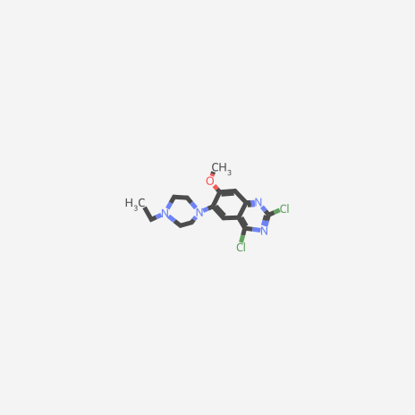 CCN1CCN(c2cc3c(Cl)nc(Cl)nc3cc2OC)CC1